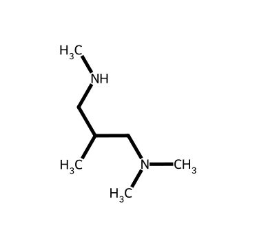 CNCC(C)CN(C)C